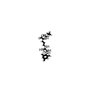 Cc1cc(C)c(S(=O)(=O)NC(=N)NCCC[C@H](NC(=O)OC(C)(C)C)C(=O)O)c(C)c1